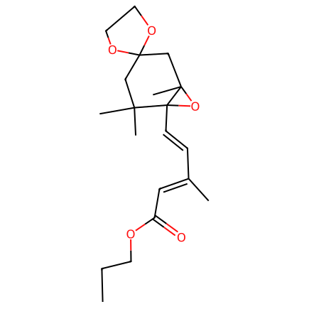 CCCOC(=O)C=C(C)C=CC12OC1(C)CC1(CC2(C)C)OCCO1